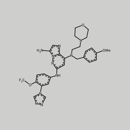 COc1ccc(CN(CCN2CCOCC2)c2cc(Nc3ccc(OC(F)(F)F)c(-n4cnnc4)c3)nn3c(N)cnc23)cc1